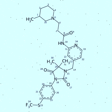 CC1CCCN(CCC(=O)Nc2cc(CN3C(=O)N(c4ccc(SC(F)(F)F)cc4)C(=O)C3(C)C)ccn2)C1